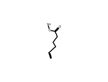 C=CCCCC(=O)OS